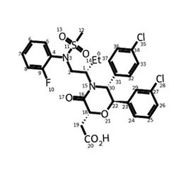 CC[C@@H](CN(c1ccccc1F)S(C)(=O)=O)N1C(=O)[C@@H](CC(=O)O)O[C@H](c2cccc(Cl)c2)[C@H]1c1ccc(Cl)cc1